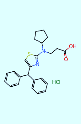 Cl.O=C(O)CCN(c1nc(C(c2ccccc2)c2ccccc2)cs1)C1CCCC1